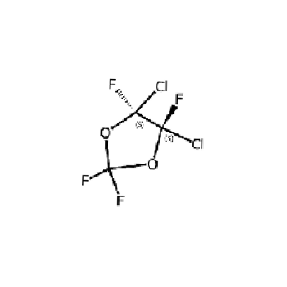 FC1(F)O[C@@](F)(Cl)[C@](F)(Cl)O1